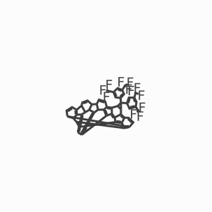 FC(F)(F)c1cc(C(F)(F)F)cc(C2(c3cc(C(F)(F)F)cc(C(F)(F)F)c3)C3c4c5c6c7c4c4c(c8ccc9c%10c%11c%12c%13c(c7c%12c4c8%10)=C4C6C(C=C5)C5C=CC6C7=C(C=%13C6C45)C%11C9C=C7)C32)c1